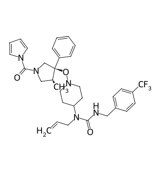 C=CCN(C(=O)NCc1ccc(C(F)(F)F)cc1)C1CCN(O[C@]2(c3ccccc3)CN(C(=O)n3cccc3)C[C@@H]2C)CC1